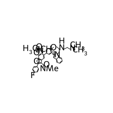 CNC(=O)c1c(-c2ccc(F)cc2)oc2cc(N(C)S(C)(=O)=O)c(-c3ccc4c(c3)-c3cc5ccccc5n3CC(NCCCN(C)C)CO4)cc12